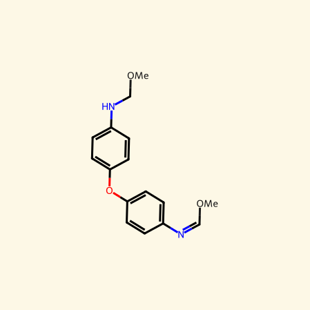 CO/C=N\c1ccc(Oc2ccc(NCOC)cc2)cc1